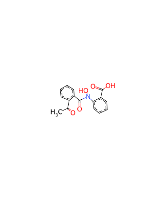 CC(=O)c1ccccc1C(=O)N(O)c1ccccc1C(=O)O